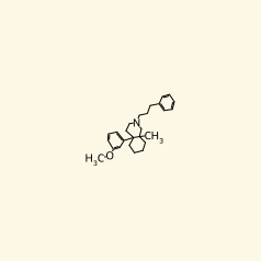 COc1cccc(C23CCCCC2(C)CN(CCCc2ccccc2)CC3)c1